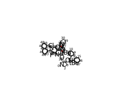 CN1CC[C@@H](O[Si](c2ccccc2)(c2ccccc2)C(C)(C)C)[C@H]1COc1nc(N2CC3CCC(C2)N3C(=O)OC(C)(C)C)c2cnc(-c3cccc4cccc(Cl)c34)c(F)c2n1